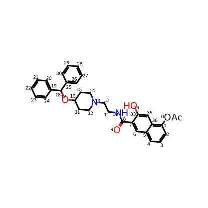 CC(=O)Oc1cccc2cc(C(=O)NCCN3CCC(OC(c4ccccc4)c4ccccc4)CC3)c(O)cc12